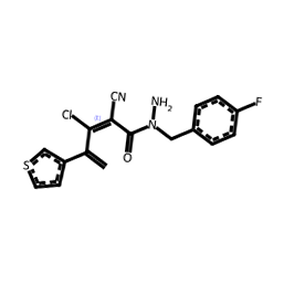 C=C(/C(Cl)=C(/C#N)C(=O)N(N)Cc1ccc(F)cc1)c1ccsc1